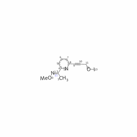 CO/N=C(\C)c1cccc(C#CCOI)n1